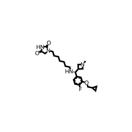 CN1CC([C@@H](NCCCCCCCN2CC(=O)NC2=O)c2ccc(F)c(OCC3CC3)c2)C1